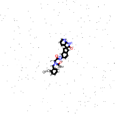 C[C@H](C(=O)Nc1ccc2c(c1)CC1(C2)C(=O)Nc2ncccc21)N(Cc1ccccc1C=O)C(=O)C(C)(C)C